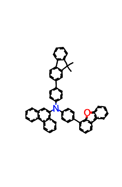 CC1(C)c2ccccc2-c2ccc(-c3ccc(N(c4ccc(-c5cccc6c5oc5ccccc56)cc4)c4cc5ccccc5c5ccccc45)cc3)cc21